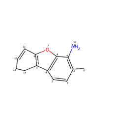 Cc1ccc2c3c(oc2c1N)C=CCC3